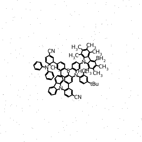 Bc1c(C)c(C)c(C)c2c1c1c(C)c(C)c(C)c(C)c1n2-c1ccc2c(c1)N(c1ccc(C(C)(C)C)cc1C)c1cc(-c3cc(C#N)ccc3-n3c4ccccc4c4ccccc43)cc3c1B2c1ccc(C2C=C(C#N)C=CC2(C)N(c2ccccc2)c2ccccc2)cc1C3